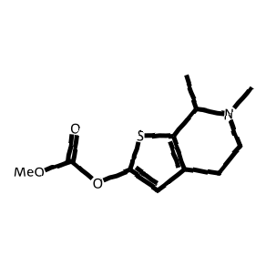 COC(=O)Oc1cc2c(s1)C(C)N(C)CC2